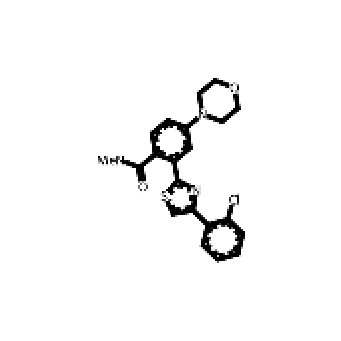 CNC(=O)c1ccc(N2CCOCC2)cc1-c1nc(-c2ccccc2Cl)cs1